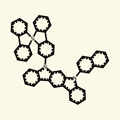 c1ccc2c(c1)-c1ccccc1[Si]21c2ccccc2-c2ccc(-n3c4ccccc4c4cc5c6ccccc6n(-c6ccc7ccccc7c6)c5cc43)cc21